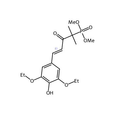 CCOc1cc(/C=C/C(=O)C(C)(C)P(=O)(OC)OC)cc(OCC)c1O